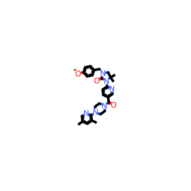 COc1ccc(CN2CC(C)(C)N(c3ccc(C(=O)N4CCN(c5ncc(C)cc5C)CC4)cn3)C2=O)cc1